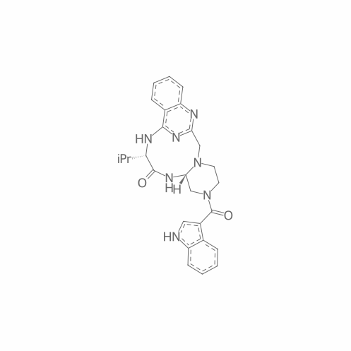 CC(C)[C@@H]1Nc2nc(nc3ccccc23)CN2CCN(C(=O)c3c[nH]c4ccccc34)C[C@@H]2NC1=O